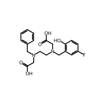 O=C(O)CN(CCN(CC(=O)O)Cc1cc(F)ccc1O)Cc1ccccc1